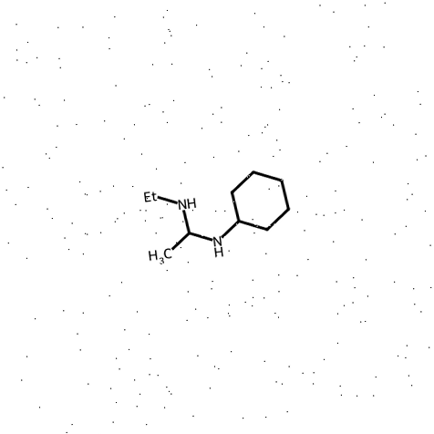 CCNC(C)NC1CCCCC1